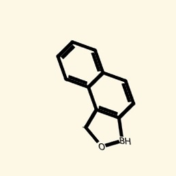 B1O[CH]c2c1ccc1ccccc21